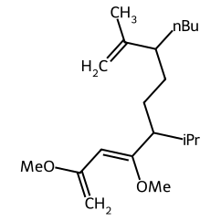 C=C(/C=C(\OC)C(CCC(CCCC)C(=C)C)C(C)C)OC